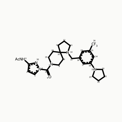 CC(=O)Nc1ccn(C(=O)N2CCC3(CCCN3Cc3cc(N4CCCC4)cc(C(F)(F)F)c3)CC2)n1